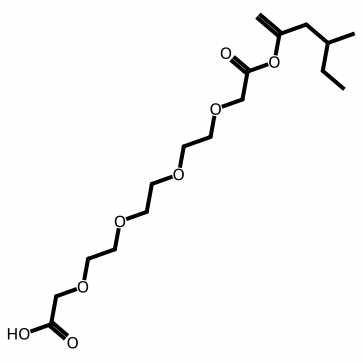 C=C(CC(C)CC)OC(=O)COCCOCCOCCOCC(=O)O